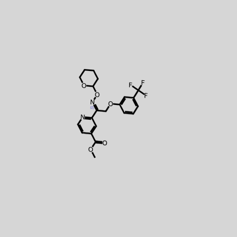 COC(=O)c1ccnc(/C(COc2cccc(C(F)(F)F)c2)=N/OC2CCCCO2)c1